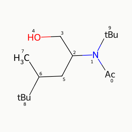 CC(=O)N(C(CO)CC(C)C(C)(C)C)C(C)(C)C